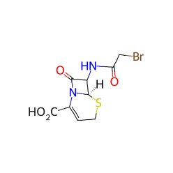 O=C(CBr)NC1C(=O)N2C(C(=O)O)=CCS[C@H]12